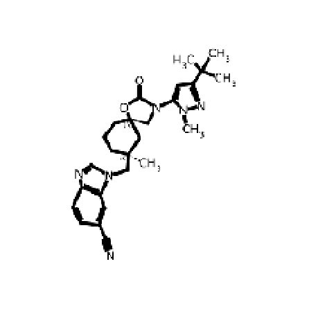 Cn1nc(C(C)(C)C)cc1N1C[C@@]2(CCC[C@](C)(Cn3cnc4ccc(C#N)cc43)C2)OC1=O